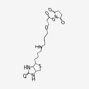 O=C1NC2CSC(CCCCNCCCOCCC(=O)ON3C(=O)CCC3=O)C2N1